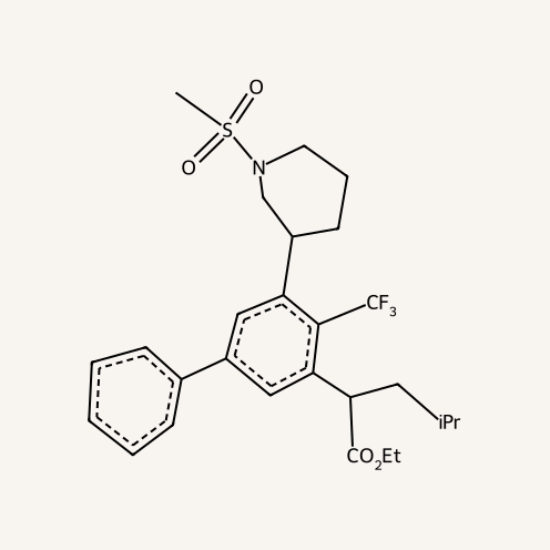 CCOC(=O)C(CC(C)C)c1cc(-c2ccccc2)cc(C2CCCN(S(C)(=O)=O)C2)c1C(F)(F)F